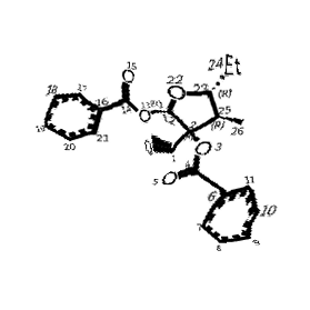 C=C[C@]1(OC(=O)c2ccccc2)[C@@H](OC(=O)c2ccccc2)O[C@H](CC)[C@H]1C